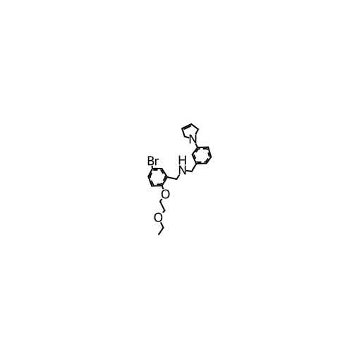 CCOCCOc1ccc(Br)cc1CNCc1cccc(N2CC=CC2)c1